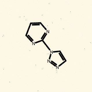 c1cnc(-n2ccnn2)nc1